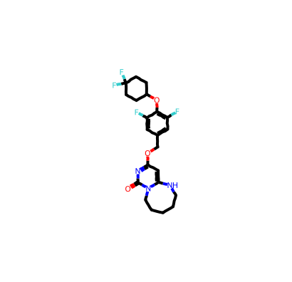 O=c1nc(OCc2cc(F)c(OC3CCC(F)(F)CC3)c(F)c2)cc2n1CCCCCN2